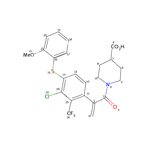 C=C(C(=O)N1CCC(C(=O)O)CC1)c1ccc(Sc2ccccc2OC)c(Cl)c1C(F)(F)F